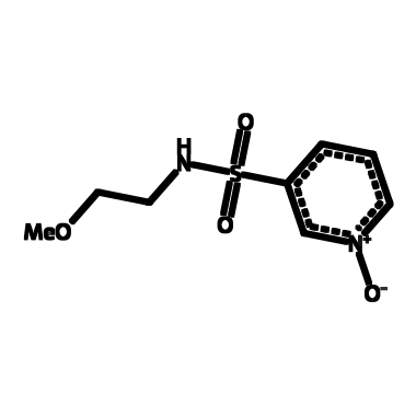 COCCNS(=O)(=O)c1ccc[n+]([O-])c1